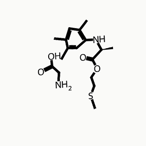 CSCCOC(=O)[C@H](C)Nc1cc(C)c(C)cc1C.NCC(=O)O